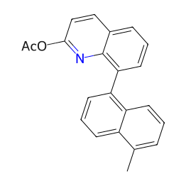 CC(=O)Oc1ccc2cccc(-c3cccc4c(C)cccc34)c2n1